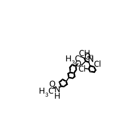 CC(=O)Nc1ccc(-c2ccc3cc(OCc4c(-c5c(Cl)cccc5Cl)noc4C(C)C)ccc3c2)cc1